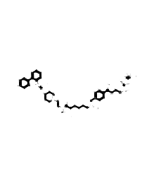 CN(CCCCCC(=O)N(C)CCN1CCC(OC(=O)Nc2ccccc2-c2ccccc2)CC1)Cc1ccc(C(=O)CCCN(C)C(=O)OC(C)(C)C)cc1